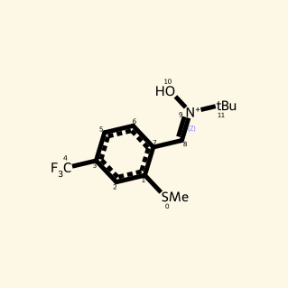 CSc1cc(C(F)(F)F)ccc1/C=[N+](\O)C(C)(C)C